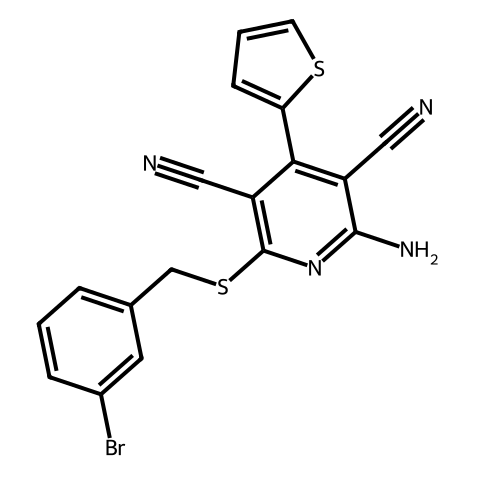 N#Cc1c(N)nc(SCc2cccc(Br)c2)c(C#N)c1-c1cccs1